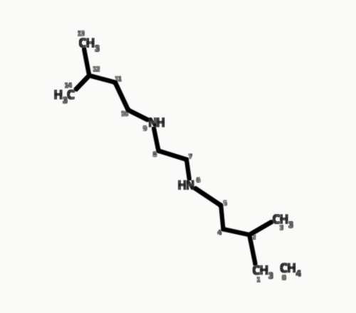 C.CC(C)CCNCCNCCC(C)C